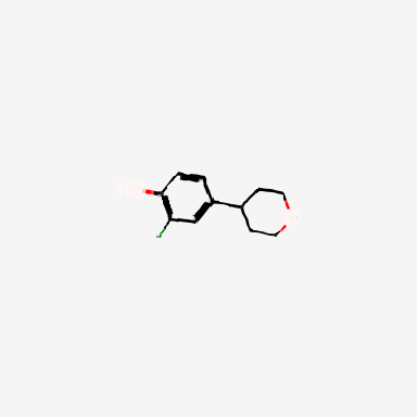 Oc1ccc(C2CCOCC2)cc1Cl